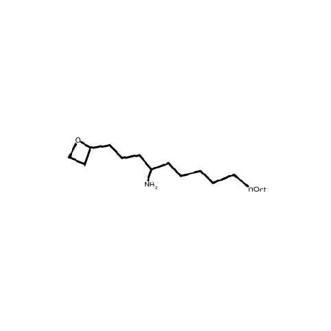 CCCCCCCCCCCCCC(N)CCCC1CCO1